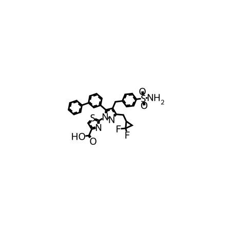 NS(=O)(=O)c1ccc(Cc2c(CC3CC3(F)F)nn(-c3nc(C(=O)O)cs3)c2-c2cccc(-c3ccccc3)c2)cc1